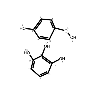 OOc1ccc(O)cc1.Oc1cccc(O)c1O